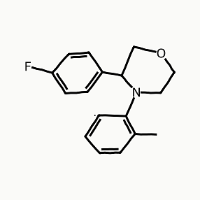 Cc1ccc[c]c1N1CCOCC1c1ccc(F)cc1